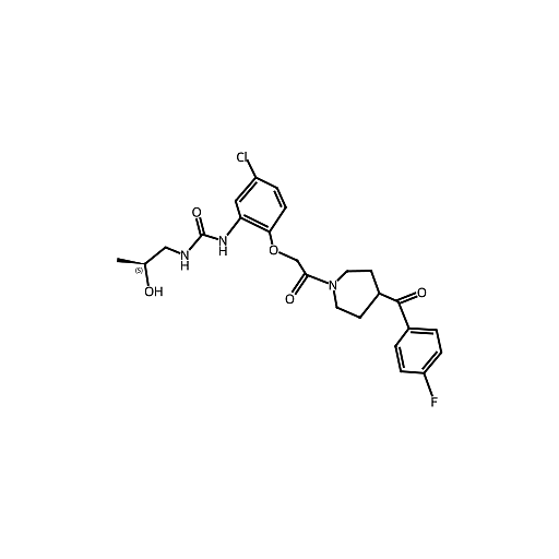 C[C@H](O)CNC(=O)Nc1cc(Cl)ccc1OCC(=O)N1CCC(C(=O)c2ccc(F)cc2)CC1